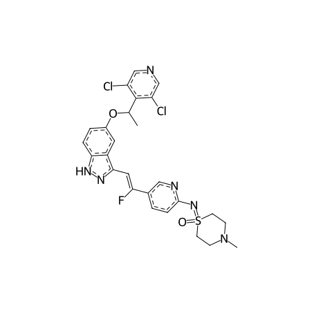 CC(Oc1ccc2[nH]nc(/C=C(\F)c3ccc(N=S4(=O)CCN(C)CC4)nc3)c2c1)c1c(Cl)cncc1Cl